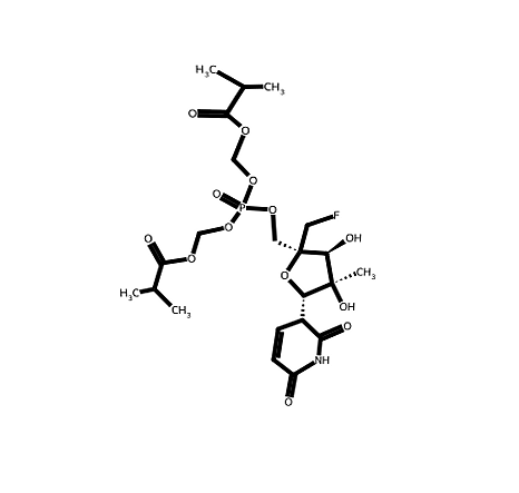 CC(C)C(=O)OCOP(=O)(OCOC(=O)C(C)C)OC[C@@]1(CF)O[C@@H](C2C=CC(=O)NC2=O)[C@](C)(O)[C@@H]1O